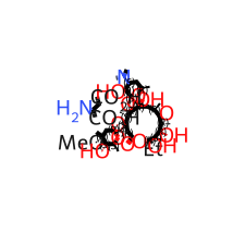 CC[C@H]1OC(=O)[C@H](C)[C@@H](O[C@H]2C[C@@](C)(OC)[C@@H](O)[C@H](C)O2)[C@H](C)[C@@H](O[C@@H]2O[C@H](C)C[C@H](N(C)C)[C@H]2O)[C@](C)(O)C[C@@H](C)C(=O)[C@H](C)[C@@H](O)[C@]1(C)O.NC(CC(=O)O)C(=O)O